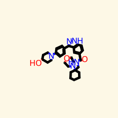 O=C(NCC1(N2CCOCC2)CCCCC1)c1ccc2[nH]nc(-c3ccc(N4CCC(O)CC4)cc3)c2c1